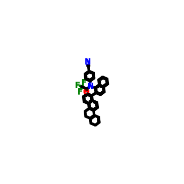 N#Cc1ccc(N(C(=O)C(F)(F)F)c2c(-c3cccc4c5c(ccc34)C3=C(CCC=C3)CC5)ccc3ccccc23)cc1